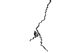 CCCCCCCCCCCCCCCCCCn1cc[n+](CCCCC)c1CCCCCCCCCCC